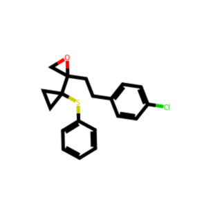 Clc1ccc(CCC2(C3(Sc4ccccc4)CC3)CO2)cc1